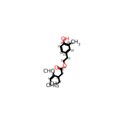 C/C=C(/C=O)C(CC=O)CC(=O)OCCc1ccc(O)c(C)c1